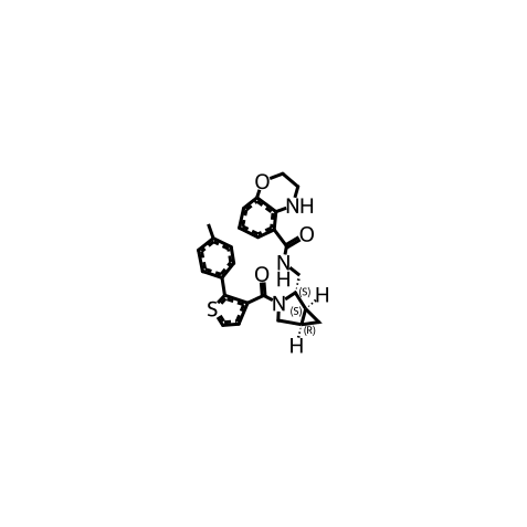 Cc1ccc(-c2sccc2C(=O)N2C[C@@H]3C[C@@H]3[C@H]2CNC(=O)c2cccc3c2NCCO3)cc1